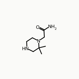 CC1(C)CNCCN1CC(N)=O